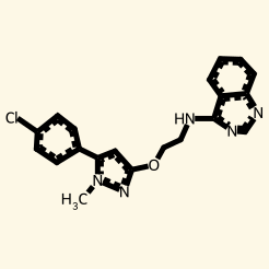 Cn1nc(OCCNc2ncnc3ccccc23)cc1-c1ccc(Cl)cc1